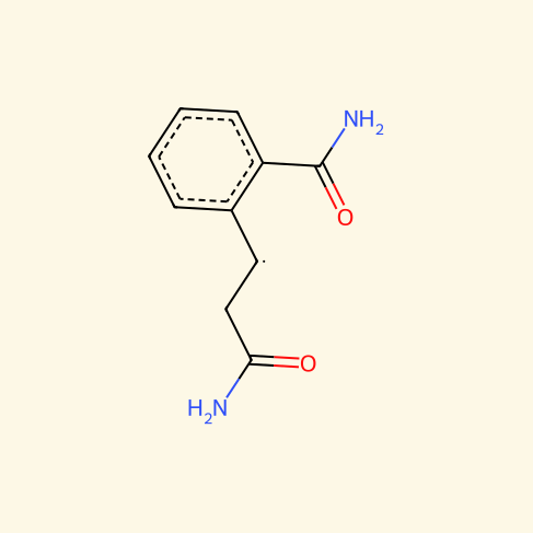 NC(=O)C[CH]c1ccccc1C(N)=O